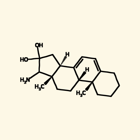 C[C@]12CCCCC1=CC=C1[C@H]2CC[C@]2(C)C(N)C(O)(O)C[C@@H]12